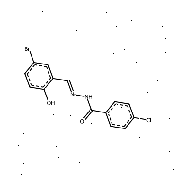 O=C(N/N=C/c1cc(Br)ccc1O)c1ccc(Cl)cc1